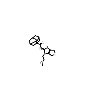 COCCn1c2c(sc1=NC(=O)C13CC4CC(CC(C4)C1)C3)COC2